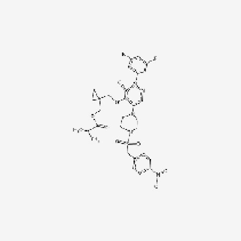 CC(C)C(=O)OCC1(COc2c(N3CCN(S(=O)(=O)Cc4ccc([N+](=O)[O-])cc4)CC3)cnn(-c3cc(F)cc(F)c3)c2=O)CC1